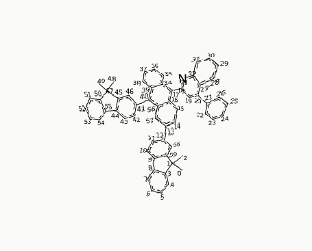 CC1(C)c2ccccc2-c2ccc(-c3ccc4c(-c5cc(-c6ccccc6)c6ccccc6n5)c5ccccc5c(-c5ccc6c(c5)C(C)(C)c5ccccc5-6)c4c3)cc21